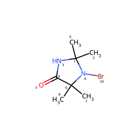 CC1(C)NC(=O)C(C)(C)N1Br